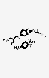 CCCNc1nc2ccc(OCC(=CF)CN)cc2s1.Cc1ccc(S(=O)(=O)O)cc1